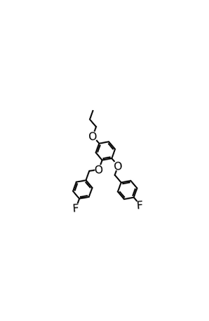 CCCOc1ccc(OCc2ccc(F)cc2)c(OCc2ccc(F)cc2)c1